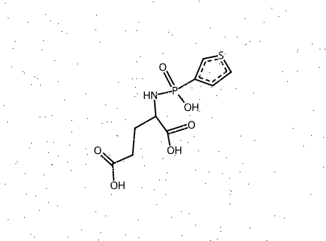 O=C(O)CCC(NP(=O)(O)c1ccsc1)C(=O)O